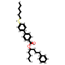 CCCCCCSc1ccc(-c2ccc(C(=O)OC(CCCC)CCCc3ccccc3)cc2)cc1